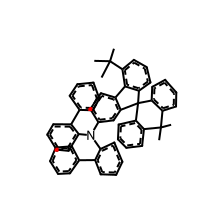 CC(C)(C)c1cccc2c1-c1ccc(N(c3ccccc3-c3ccccc3)c3ccccc3-c3ccccc3)cc1C21c2ccccc2C(C)(C)c2ccccc21